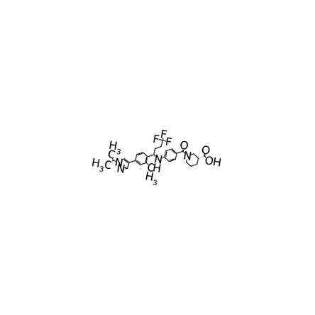 Cc1cc(-c2cnn(C(C)C)c2)ccc1C(CCC(F)(F)F)Nc1ccc(C(=O)N2CCC[C@@H](C(=O)O)C2)cc1